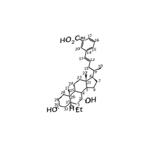 CC[C@H]1[C@@H](O)C2C3CC[C@H]([C@H](C)C/C=C/c4cccc(C(=O)O)c4)[C@@]3(C)CCC2[C@@]2(C)CC[C@@H](O)C[C@@H]12